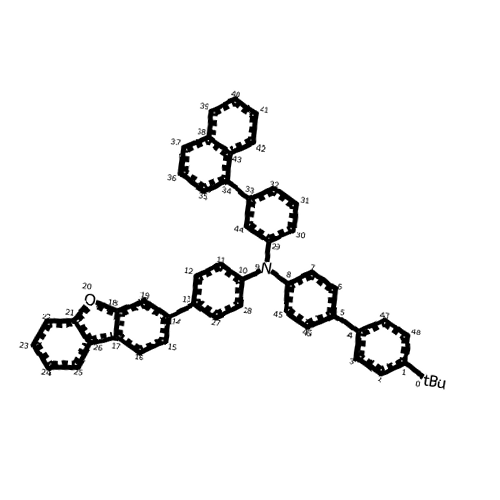 CC(C)(C)c1ccc(-c2ccc(N(c3ccc(-c4ccc5c(c4)oc4ccccc45)cc3)c3cccc(-c4cccc5ccccc45)c3)cc2)cc1